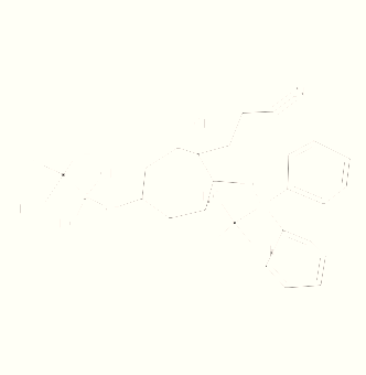 CC(C)(C)[Si](C)(C)OC1CCC(O[Si](c2ccccc2)(c2ccccc2)C(C)(C)C)[C@](C)(CCC#N)CC1